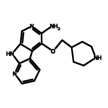 Nc1ncc2[nH]c3ncccc3c2c1OCC1CCNCC1